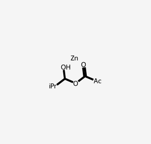 CC(=O)C(=O)OC(O)C(C)C.[Zn]